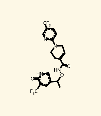 CC(ONC(=O)C1=CCN(c2ccc(C(F)(F)F)cn2)CC1)c1c[nH]c(=O)c(C(F)(F)F)c1